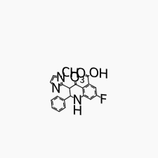 Cn1ccnc1C1C(=O)c2c(cc(F)cc2C(=O)O)NC1c1ccccc1